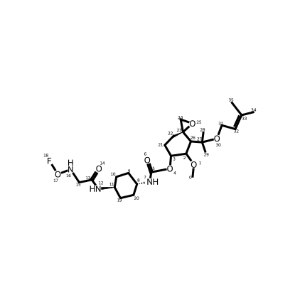 COC1C(OC(=O)N[C@H]2CC[C@H](NC(=O)CNOF)CC2)CC[C@]2(CO2)C1C(C)(C)OCC=C(C)C